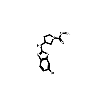 CC(C)(C)OC(=O)N1CCC(Nc2nc3ccc(Br)cc3s2)C1